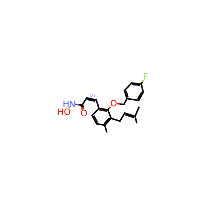 CC(C)=CCc1c(C)ccc(/C=C\C(=O)NO)c1OCc1ccc(F)cc1